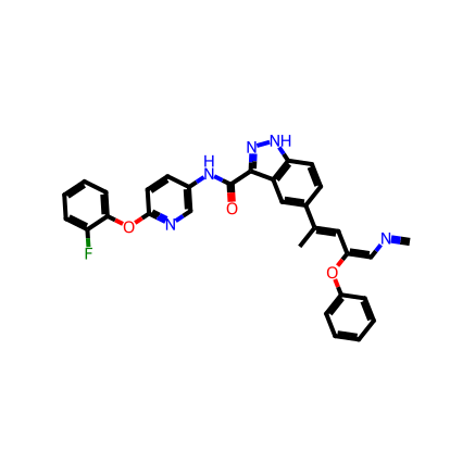 C=N/C=C(\C=C(/C)c1ccc2[nH]nc(C(=O)Nc3ccc(Oc4ccccc4F)nc3)c2c1)Oc1ccccc1